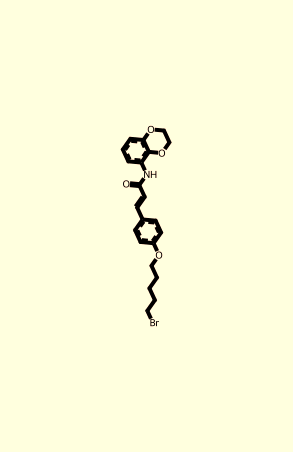 O=C(/C=C/c1ccc(OCCCCCBr)cc1)Nc1cccc2c1OCCO2